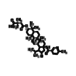 Cc1ccc(C(=O)NC23CC[C@]4(C)C(CCC5C6(C)CC[C@H](OC(=O)CC(C)(C)C(=O)O)C(C)(C)C6CCC54C)C2C(C(C)C)C(=O)C3)cn1